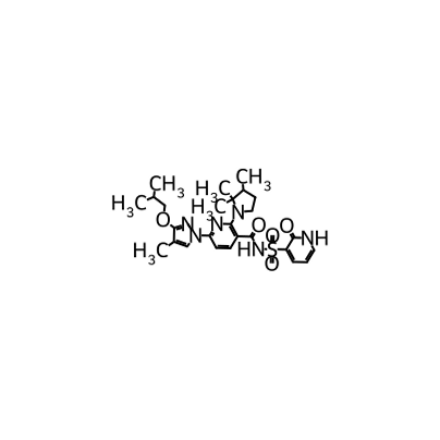 Cc1cn(-c2ccc(C(=O)NS(=O)(=O)c3ccc[nH]c3=O)c(N3CCC(C)C3(C)C)n2)nc1OCC(C)C